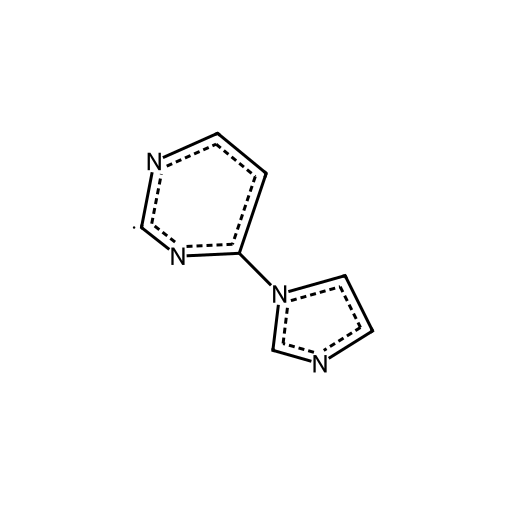 [c]1nccc(-n2ccnc2)n1